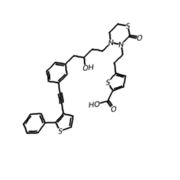 O=C(O)c1ccc(CCN2C(=O)SCCN2CCC(O)Cc2cccc(C#Cc3ccsc3-c3ccccc3)c2)s1